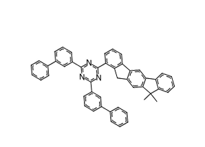 CC1(C)c2ccccc2-c2cc3c(cc21)Cc1c(-c2nc(-c4cccc(-c5ccccc5)c4)nc(-c4cccc(-c5ccccc5)c4)n2)cccc1-3